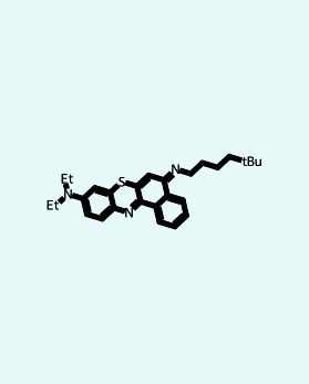 CCN(CC)c1ccc2nc3c4ccccc4/c(=N\CCCCC(C)(C)C)cc-3sc2c1